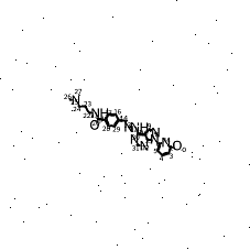 COc1cccc(-n2ncc3c(N/N=C/c4ccc(C(=O)NCCCN(C)C)cc4)ncnc32)n1